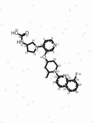 CC1CC(Oc2cnccc2N2CCC(NC(=O)O)C2)CCN1c1ccc2cccc(F)c2n1